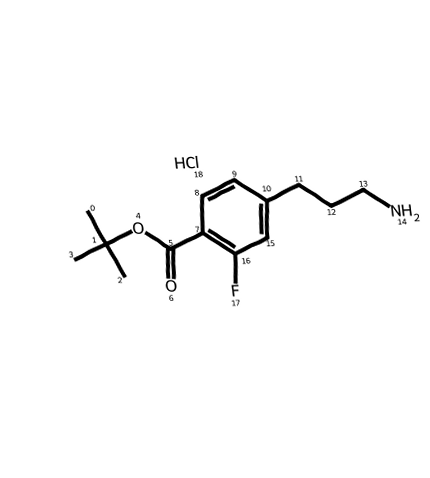 CC(C)(C)OC(=O)c1ccc(CCCN)cc1F.Cl